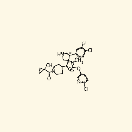 CN(C(=O)Oc1ccc(Cl)nc1)[C@]1(C(=O)C2CCN(C(=O)C3(C)CC3)CC2)CNC[C@H]1c1ccc(Cl)c(Cl)c1